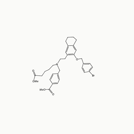 COC(=O)CCCCN(CCc1cc2c(cc1OCc1ccc(Br)cc1)CCCC2)Cc1ccc(C(=O)OC)cc1